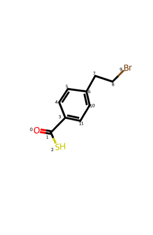 O=C(S)c1ccc(CCBr)cc1